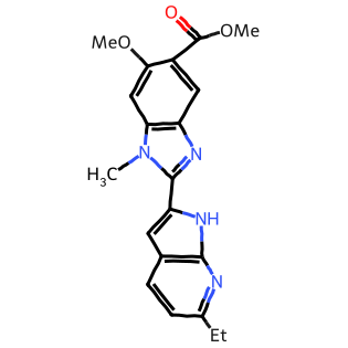 CCc1ccc2cc(-c3nc4cc(C(=O)OC)c(OC)cc4n3C)[nH]c2n1